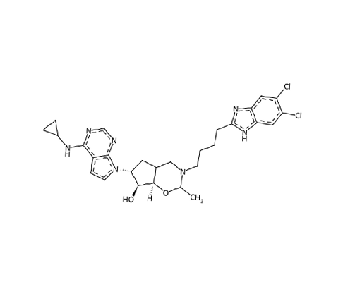 CC1O[C@@H]2C(C[C@@H](n3ccc4c(NC5CC5)ncnc43)[C@@H]2O)CN1CCCCc1nc2cc(Cl)c(Cl)cc2[nH]1